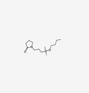 CCCCO[Si](C)(C)CCCN1CCCC1=O